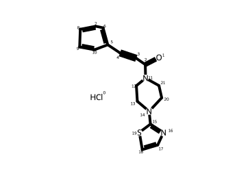 Cl.O=C(C#Cc1ccccc1)N1CCN(c2nccs2)CC1